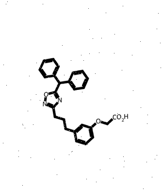 O=C(O)COc1cccc(CCCc2noc(C(c3ccccc3)c3ccccc3)n2)c1